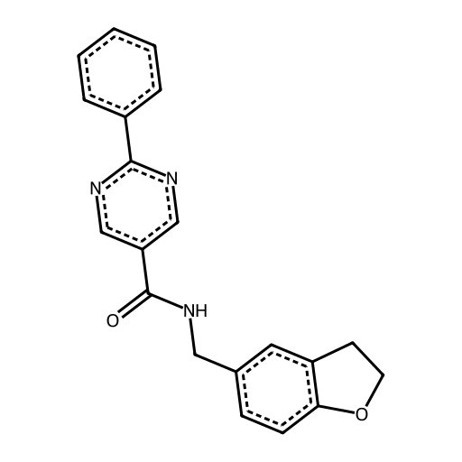 O=C(NCc1ccc2c(c1)CCO2)c1cnc(-c2ccccc2)nc1